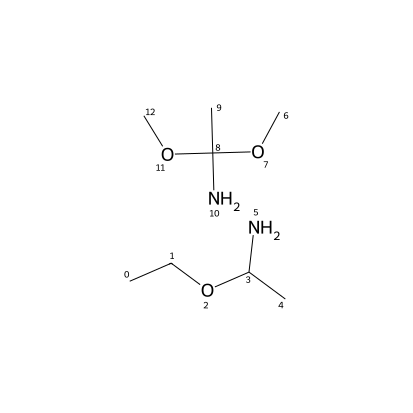 CCOC(C)N.COC(C)(N)OC